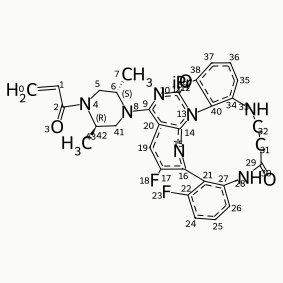 C=CC(=O)N1C[C@H](C)N(c2nc(=O)n3c4nc(c(F)cc24)-c2c(F)cccc2NC(=O)CCNc2cccc(C(C)C)c2-3)C[C@H]1C